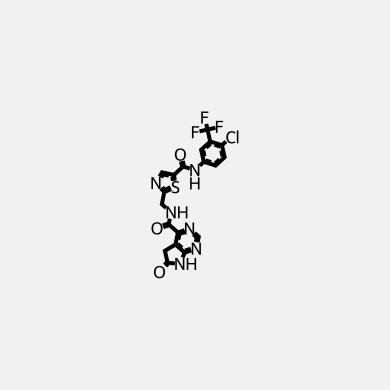 O=C1Cc2c(ncnc2C(=O)NCc2ncc(C(=O)Nc3ccc(Cl)c(C(F)(F)F)c3)s2)N1